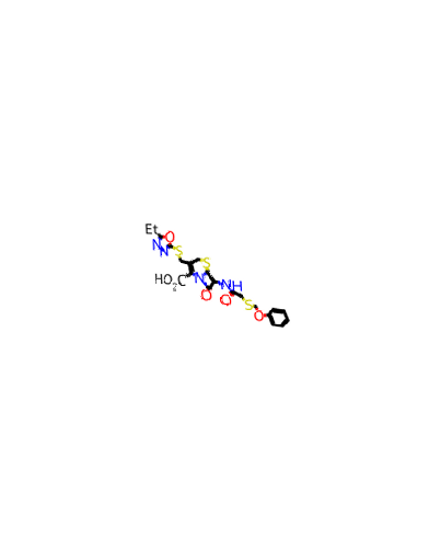 CCc1nnc(SCC2=C(C(=O)O)N3C(=O)C(NC(=O)CSCOc4ccccc4)C3SC2)o1